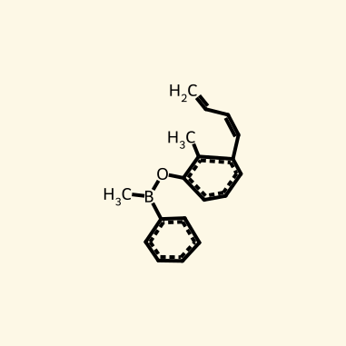 C=C/C=C\c1cccc(OB(C)c2ccccc2)c1C